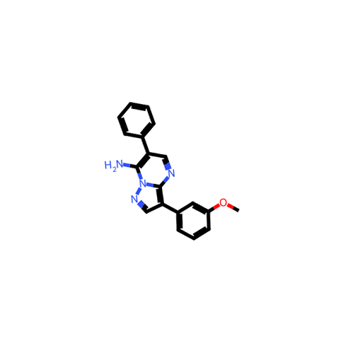 COc1cccc(-c2cnn3c(N)c(-c4ccccc4)cnc23)c1